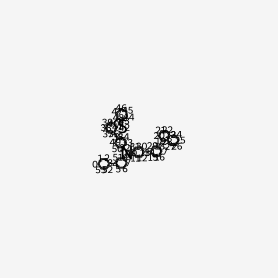 c1ccc(-c2cccc(N(c3ccc(-c4cccc(-c5cccc6ccccc56)c4)cc3)c3ccc(-c4cccc5c4sc4ccccc45)cc3)c2)cc1